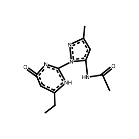 CCc1cc(=O)nc(-n2nc(C)cc2NC(C)=O)[nH]1